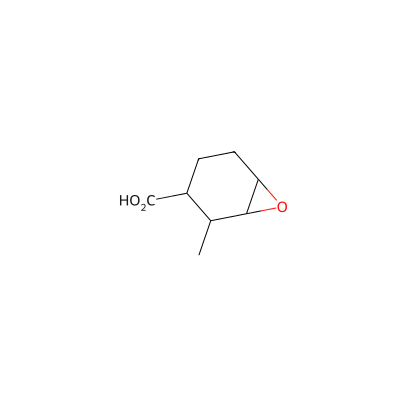 CC1C(C(=O)O)CCC2OC21